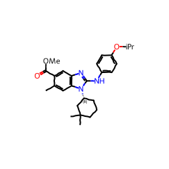 COC(=O)c1cc2nc(Nc3ccc(OC(C)C)cc3)n([C@@H]3CCCC(C)(C)C3)c2cc1C